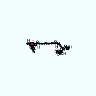 CC/N=c1/cc2oc3cc(NCC)c(C)cc3c(-c3ccc(C(=O)NCCOCCOCCOCCOCCC(=O)NCC(C)(C)SSCOC4C[C@H](N5C=C(C)C(C)NC5=O)O[C@@H]4COP(=O)(O)OP(=O)(O)OP(=O)(O)O)cc3C(=O)O)c-2cc1C